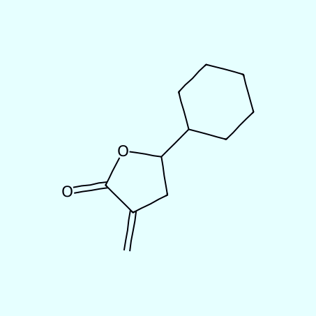 C=C1CC(C2CCCCC2)OC1=O